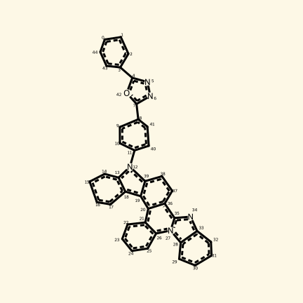 c1ccc(-c2nnc(-c3ccc(-n4c5ccccc5c5c6c7ccccc7n7c8ccccc8nc7c6ccc54)cc3)o2)cc1